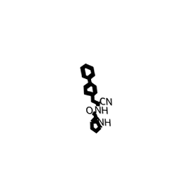 N#C[C@H](Cc1ccc(-c2ccccc2)cc1)NC(=O)C1NC2CCC1C2